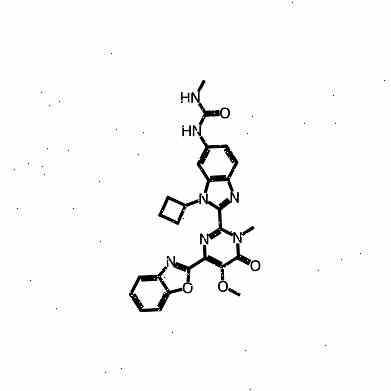 CNC(=O)Nc1ccc2nc(-c3nc(-c4nc5ccccc5o4)c(OC)c(=O)n3C)n(C3CCC3)c2c1